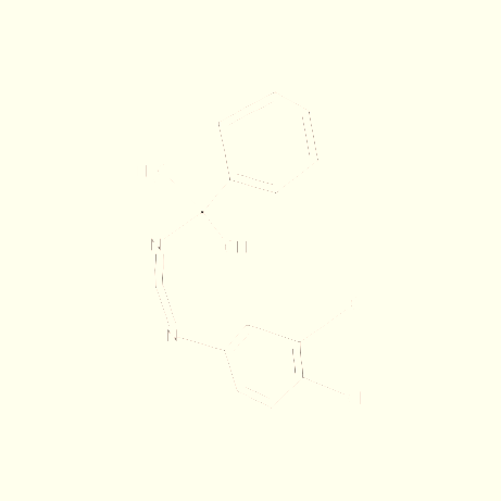 CC(C)(N=C=Nc1ccc(Cl)c(Cl)c1)c1ccccc1